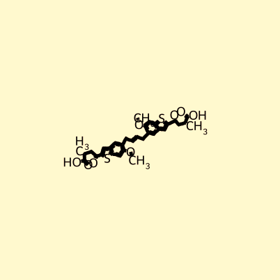 COc1cc2sc(C(=O)CC(C)C(=O)O)cc2cc1CC=CCc1cc2cc(C(=O)CC(C)C(=O)O)sc2cc1OC